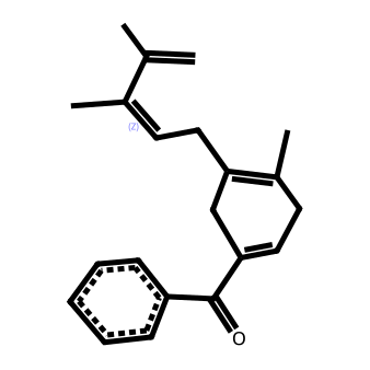 C=C(C)/C(C)=C\CC1=C(C)CC=C(C(=O)c2ccccc2)C1